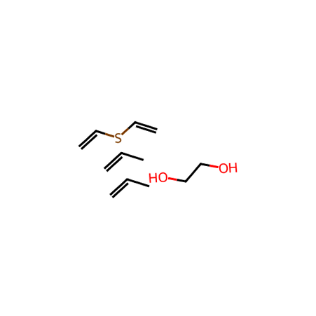 C=CC.C=CC.C=CSC=C.OCCO